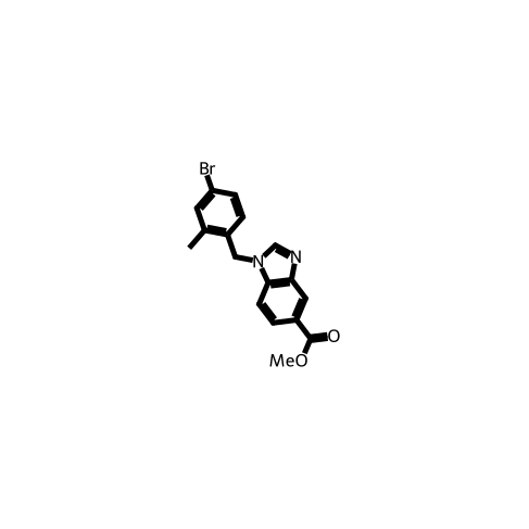 COC(=O)c1ccc2c(c1)ncn2Cc1ccc(Br)cc1C